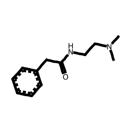 CN(C)CCNC(=O)[CH]c1ccccc1